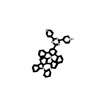 C1=CC(c2nc(-c3ccncc3)nc(-c3cc(-c4ccccc4)c(-n4c5ccccc5c5c4ccc4c6ccccc6n(-c6ccccc6)c45)c(-c4ccccc4)c3)n2)=CCN1